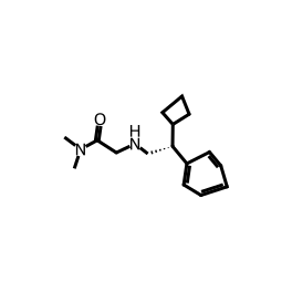 CN(C)C(=O)CNC[C@@H](c1ccccc1)C1CCC1